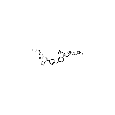 CCOCC(O)CN(CC1CO1)c1ccc(Cc2ccc(N(CC(O)COCC)C3CCO3)cc2)cc1